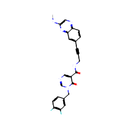 CC(C)Nc1cnc2ccc(C#CCNC(=O)c3cncn(Cc4ccc(F)c(F)c4)c3=O)cc2n1